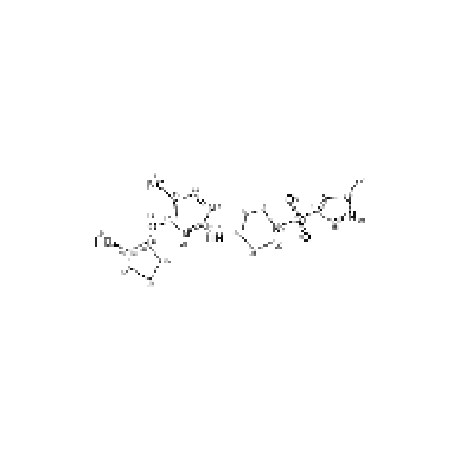 Cn1cc(S(=O)(=O)N2CCC(Nc3ncc(C#N)c(O[C@@H]4CCC[C@H]4O)n3)CC2)cn1